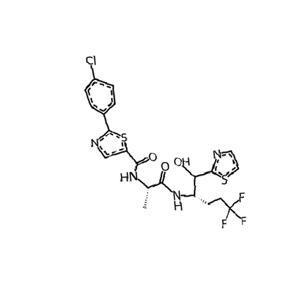 C[C@H](NC(=O)c1cnc(-c2ccc(Cl)cc2)s1)C(=O)N[C@@H](CCC(F)(F)F)C(O)c1nccs1